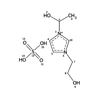 CC(O)[n+]1ccn(CCO)c1.O=S(=O)(O)O